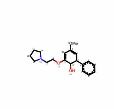 COC1=CC(c2ccccc2)C(O)C(OCCN2CCCC2)=C1